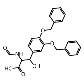 O=CNC(C(=O)O)C(O)c1ccc(OCc2ccccc2)c(OCc2ccccc2)c1